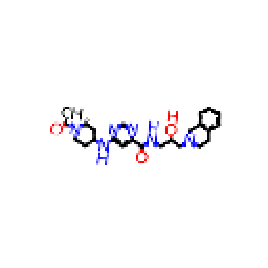 CC(=O)N1CCC(Nc2cc(C(=O)NCC(O)CN3CCc4ccccc4C3)ncn2)CC1